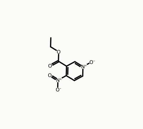 CCOC(=O)c1c[n+]([O-])ccc1[N+](=O)[O-]